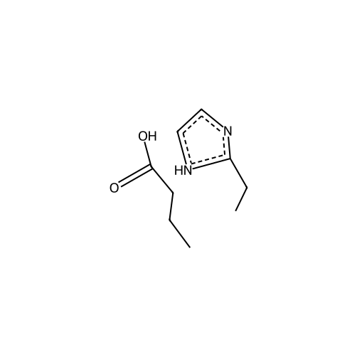 CCCC(=O)O.CCc1ncc[nH]1